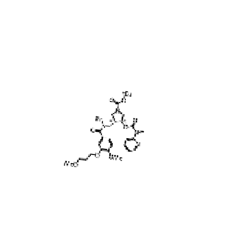 COCCCOc1cc(C(=O)N(C[C@@H]2CN(C(=O)OC(C)(C)C)C[C@H]2OC(=O)N(C)c2ccccn2)C(C)C)ccc1OC